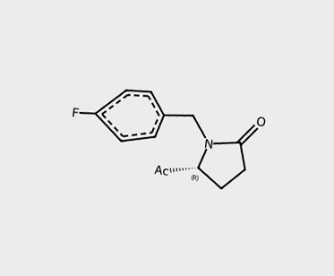 CC(=O)[C@H]1CCC(=O)N1Cc1ccc(F)cc1